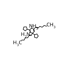 CCCCC/C=C/C1=CC(/C=C/CCCCC)(C2CCCC2)C(N)=C(C2CCCC2)C1N